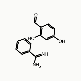 N=C(N)c1ccccc1.O=Cc1ccc(O)cc1O